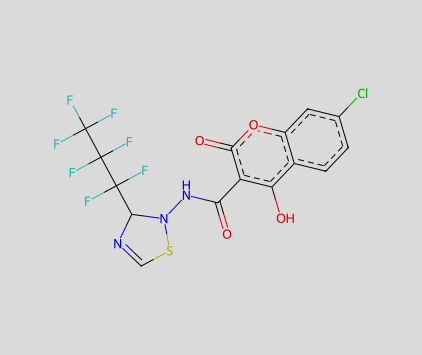 O=C(NN1SC=NC1C(F)(F)C(F)(F)C(F)(F)F)c1c(O)c2ccc(Cl)cc2oc1=O